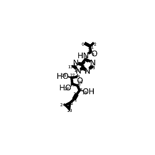 C=C(C)C(=O)Nc1ncnc2c1ncn2[C@@H]1O[C@H]([C@H](O)C#CC2CC2)[C@@H](O)[C@H]1O